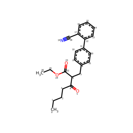 CCCCC(=O)C(Cc1ccc(-c2ccccc2C#N)cc1)C(=O)OCC